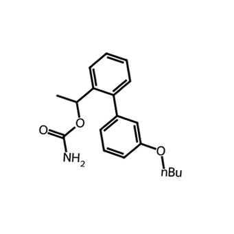 CCCCOc1cccc(-c2ccccc2C(C)OC(N)=O)c1